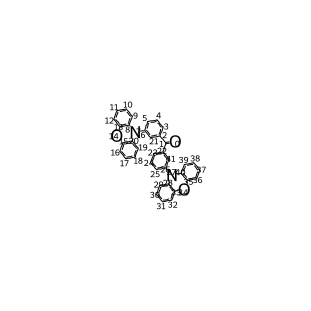 O=C(c1cccc(N2c3ccccc3Oc3ccccc32)c1)c1cccc(N2c3ccccc3Oc3ccccc32)c1